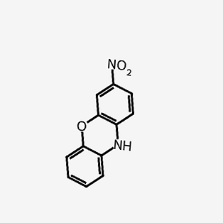 O=[N+]([O-])c1ccc2c(c1)Oc1ccccc1N2